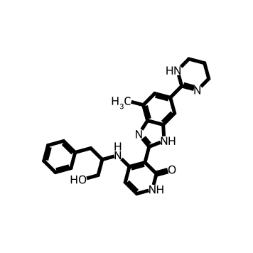 Cc1cc(C2=NCCCN2)cc2[nH]c(-c3c(NC(CO)Cc4ccccc4)cc[nH]c3=O)nc12